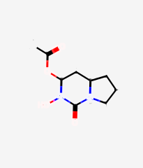 CC(=O)OC1CC2CCCN2C(=O)N1O